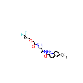 C=C(CCNC(=O)COC[C@H]1CC1(F)F)NC(=O)c1ccc2cc(C(F)(F)F)ccc2n1